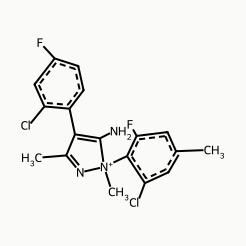 CC1=N[N+](C)(c2c(F)cc(C)cc2Cl)C(N)=C1c1ccc(F)cc1Cl